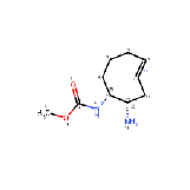 COC(=O)N[C@@H]1CCC/C=C/C[C@@H]1N